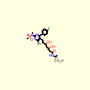 CC(C)c1nc(N(C)S(C)(=O)=O)nc(-c2ccc(F)cc2)c1/C=C/[C@H](O)C[C@@H](O)CC(=O)N[C@H](C)C(=O)O